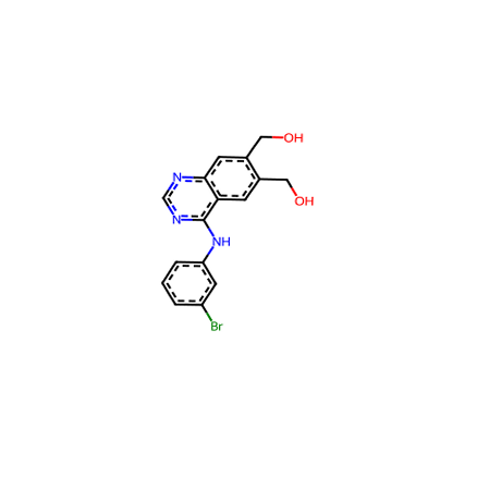 OCc1cc2ncnc(Nc3cccc(Br)c3)c2cc1CO